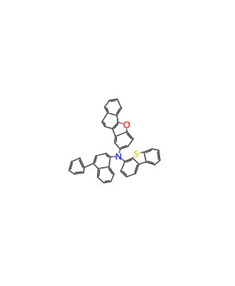 c1ccc(-c2ccc(N(c3ccc4oc5c6ccccc6ccc5c4c3)c3cccc4c3sc3ccccc34)c3ccccc23)cc1